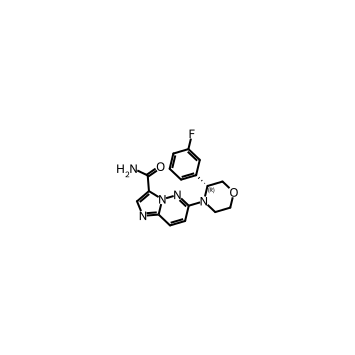 NC(=O)c1cnc2ccc(N3CCOC[C@H]3c3cccc(F)c3)nn12